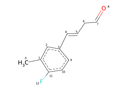 Cc1cc(C=CCC=O)ccc1F